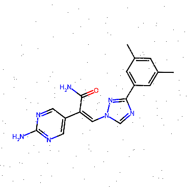 Cc1cc(C)cc(-c2ncn(C=C(C(N)=O)c3cnc(N)nc3)n2)c1